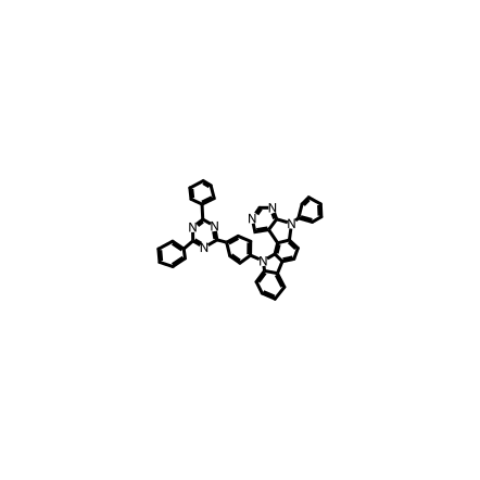 c1ccc(-c2nc(-c3ccccc3)nc(-c3ccc(-n4c5ccccc5c5ccc6c(c7cncnc7n6-c6ccccc6)c54)cc3)n2)cc1